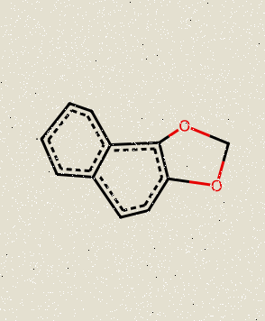 [c]1ccc2c3c(ccc2c1)OCO3